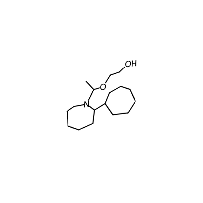 CC(OCCO)N1CCCCCC1C1CCCCCC1